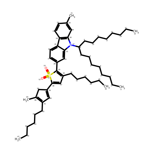 CCCCCCCCC(CCCCCCCC)n1c2cc(C)ccc2c2ccc(C3=C(CCCCCC)C=C(C4=CC(CCCCCC)=C(C)C4)S3(=O)=O)cc21